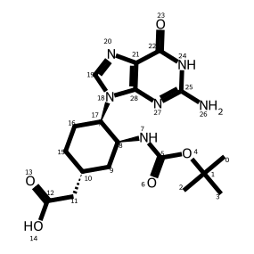 CC(C)(C)OC(=O)N[C@H]1C[C@H](CC(=O)O)CC[C@H]1n1cnc2c(=O)[nH]c(N)nc21